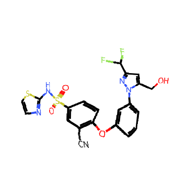 N#Cc1cc(S(=O)(=O)Nc2nccs2)ccc1Oc1cccc(-n2nc(C(F)F)cc2CO)c1